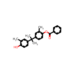 Cc1cc(C(C)(C)c2ccc(OC(=O)c3ccccc3)c(C)c2)ccc1O